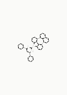 c1ccc(-c2cc(-c3ccccc3)nc(-n3c4cccc5c4c4c(cccc43)-c3cccc4cccc-5c34)n2)cc1